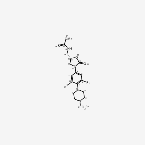 CCOC(=O)N1CCN(c2c(F)cc(N3C[C@H](CNC(=S)OC)OC3=O)cc2F)CC1